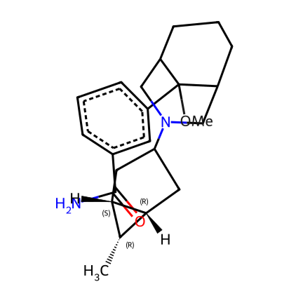 COC1(c2cccc(C(N)=O)c2)C2CCCC1CN(C1C[C@@H]3[C@H](C)[C@@H]3C1)C2